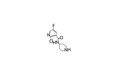 O=C(NC1CCNCC1)c1cc(F)cnc1Cl